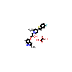 Cc1cc2c(OC[C@@H](O)CN3CC[C@@H](c4cc5cc(F)ccc5s4)C[C@H]3C)cccc2[nH]1.O=C(O)C(=O)O